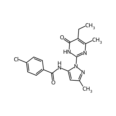 CCc1c(C)nc(-n2nc(C)cc2NC(=O)c2ccc(Cl)cc2)[nH]c1=O